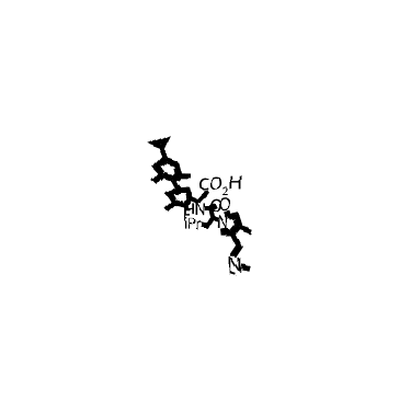 Cc1cc(=O)n(C(CC(C)C)C(=O)NC(CC(=O)O)c2cc(-c3c(C)cc(C4CC4)cc3C)cc(C)c2F)cc1CCN(C)C